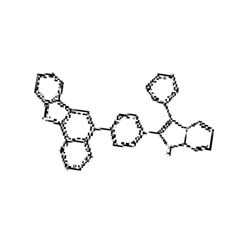 C1=CC2NC(c3ccc(-c4cc5c6ccccc6oc5c5ccccc45)cc3)=C(c3ccccc3)N2C=C1